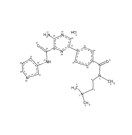 CN(C)CCN(C)C(=O)c1ccc(-c2cnc(N)c(C(=O)Nc3cccnc3)n2)cc1.Cl